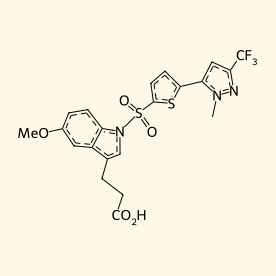 COc1ccc2c(c1)c(CCC(=O)O)cn2S(=O)(=O)c1ccc(-c2cc(C(F)(F)F)nn2C)s1